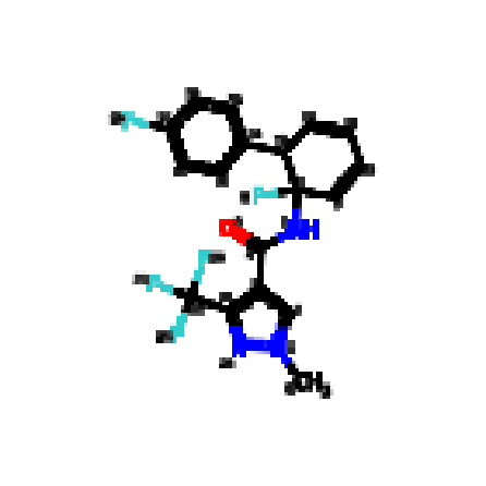 Cn1cc(C(=O)NC2(F)C=CC=CC2c2ccc(F)cc2)c(C(F)(F)F)n1